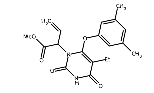 C=CC(C(=O)OC)n1c(Oc2cc(C)cc(C)c2)c(CC)c(=O)[nH]c1=O